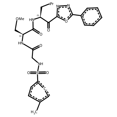 COC[C@H](NC(=O)CNS(=O)(=O)c1ccc(C)cc1)C(=O)N[C@@H](CC(C)C)C(=O)c1nnc(-c2ccccc2)o1